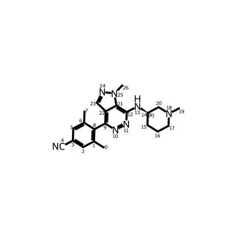 Cc1cc(C#N)cc(C)c1-c1nnc(N[C@@H]2CCCN(C)C2)c2c1cnn2C